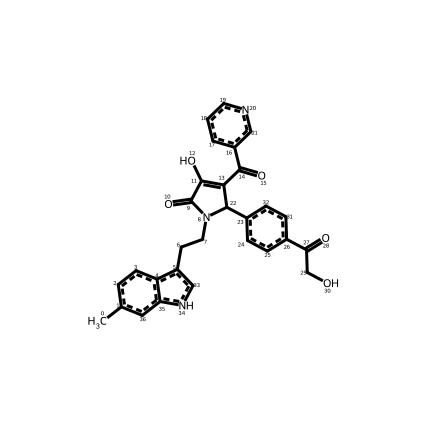 Cc1ccc2c(CCN3C(=O)C(O)=C(C(=O)c4cccnc4)C3c3ccc(C(=O)CO)cc3)c[nH]c2c1